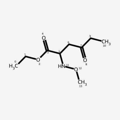 CCOC(=O)C(CC(=O)CC)NOC